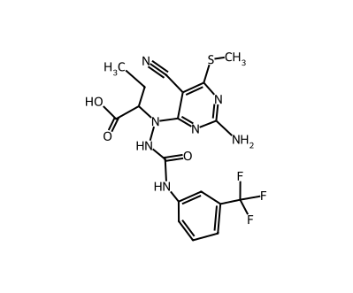 CCC(C(=O)O)N(NC(=O)Nc1cccc(C(F)(F)F)c1)c1nc(N)nc(SC)c1C#N